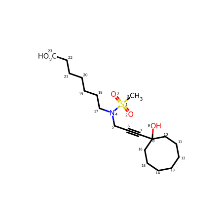 CS(=O)(=O)N(CC#CC1(O)CCCCCCC1)CCCCCCC(=O)O